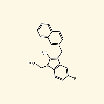 Cc1c(Cc2ccc3ccccc3c2)c2cc(F)ccc2n1CC(=O)O